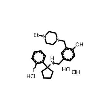 CCN1CCN(Cc2cc(CNC3(c4ccccc4F)CCCC3)ccc2O)CC1.Cl.Cl.Cl